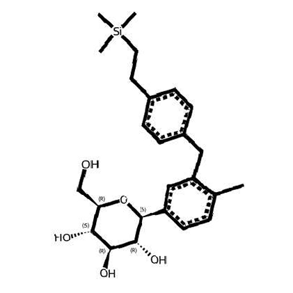 Cc1ccc([C@@H]2O[C@H](CO)[C@@H](O)[C@H](O)[C@H]2O)cc1Cc1ccc(CC[Si](C)(C)C)cc1